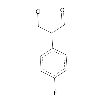 O=CC(CCl)c1ccc(F)cc1